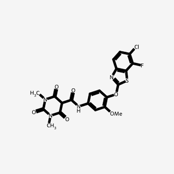 COc1cc(NC(=O)C2C(=O)N(C)C(=O)N(C)C2=O)ccc1Oc1nc2ccc(Cl)c(F)c2s1